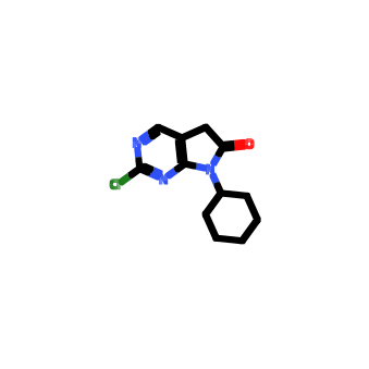 O=C1Cc2cnc(Cl)nc2N1C1CCCCC1